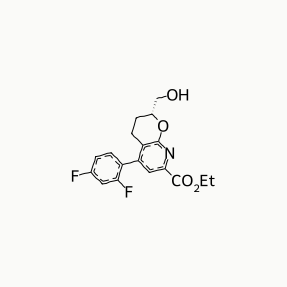 CCOC(=O)c1cc(-c2ccc(F)cc2F)c2c(n1)O[C@@H](CO)CC2